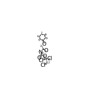 O=C(COc1ccccc1)[N]C(=O)OC(Cl)(Cl)CCl